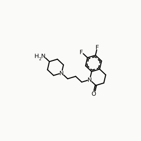 NC1CCN(CCCN2C(=O)CCc3cc(F)c(F)cc32)CC1